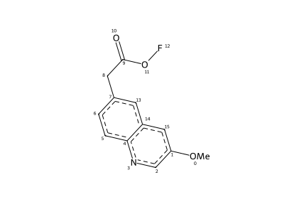 COc1cnc2ccc(CC(=O)OF)cc2c1